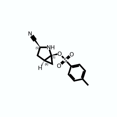 Cc1ccc(S(=O)(=O)O[C@@]23C[C@H]2C[C@@H](C#N)N3)cc1